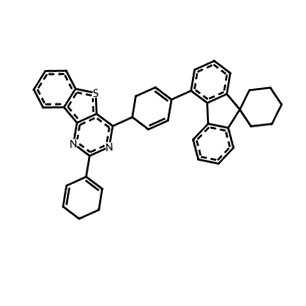 C1=CC(c2nc(C3C=CC(c4cccc5c4-c4ccccc4C54CCCCC4)=CC3)c3sc4ccccc4c3n2)=CCC1